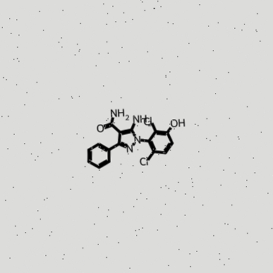 NC(=O)c1c(-c2ccccc2)nn(-c2c(Cl)ccc(O)c2Cl)c1N